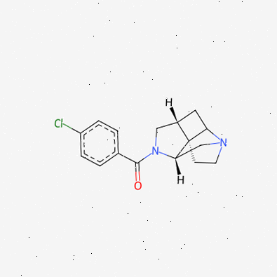 O=C(c1ccc(Cl)cc1)N1C[C@@H]2CC3N4CC[C@@]32[C@@H]1C4